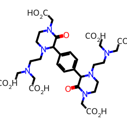 O=C(O)CN(CCN1CCN(CC(=O)O)C(=O)C1c1ccc(C2C(=O)N(CC(=O)O)CCN2CCN(CC(=O)O)CC(=O)O)cc1)CC(=O)O